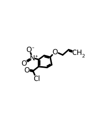 C=CCOc1ccc(C(=O)Cl)c([N+](=O)[O-])c1